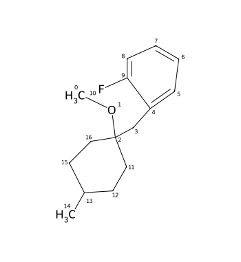 COC1(Cc2ccccc2F)CCC(C)CC1